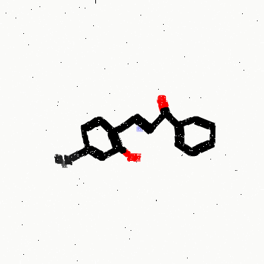 O=C(/C=C/c1ccc([N+](=O)[O-])cc1O)c1ccccc1